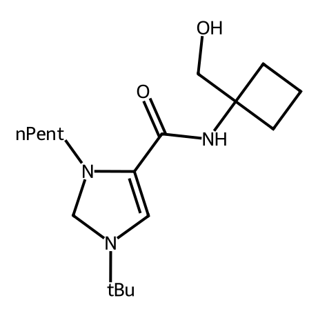 CCCCCN1CN(C(C)(C)C)C=C1C(=O)NC1(CO)CCC1